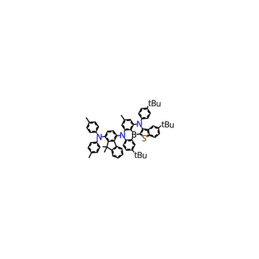 Cc1ccc(N(c2ccc(C)cc2)c2ccc(N3c4ccc(C(C)(C)C)cc4B4c5sc6ccc(C(C)(C)C)cc6c5N(c5ccc(C(C)(C)C)cc5)c5cc(C)cc3c54)c3c2C(C)(C)c2ccccc2-3)cc1